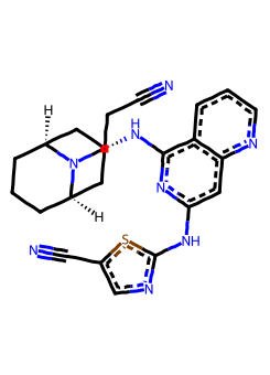 N#CCCN1[C@@H]2CCC[C@H]1C[C@H](Nc1nc(Nc3ncc(C#N)s3)cc3ncccc13)C2